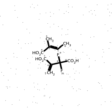 C/C=C(\C)C(=O)O.C=C(C(=O)O)C(F)(F)C(=O)O